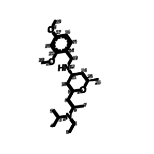 CCN(C(C)C)C(C)CC1C[C@@H](NCc2ccc(OC)cc2OC)C[C@@H](C)O1